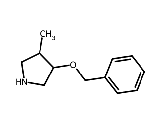 CC1CNCC1OCc1ccccc1